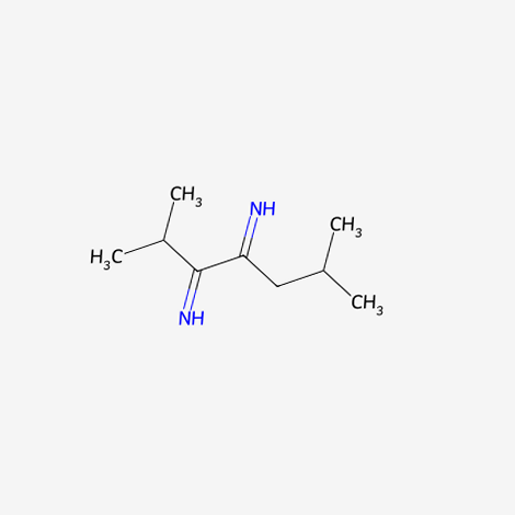 CC(C)CC(=N)C(=N)C(C)C